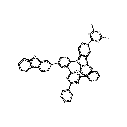 Cc1nc(C)nc(-c2ccc3c(c2)c2ccccc2n3-c2ccc(-c3ccc4c(c3)sc3ccccc34)cc2-c2nc(-c3ccccc3)nc(-c3ccccc3)n2)n1